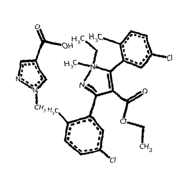 CCOC(=O)C1=C(c2cc(Cl)ccc2C)[N+](C)(CC)N=C1c1cc(Cl)ccc1C.Cn1cc(C(=O)O)cn1